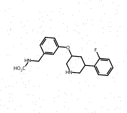 O=C(O)NCc1cccc(OC2CNCC(c3ccccc3F)C2)c1